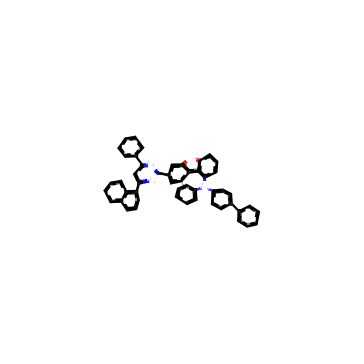 c1ccc(-c2ccc(N(c3ccccc3)c3cccc4oc5cc(-c6nc(-c7ccccc7)cc(-c7cccc8ccccc78)n6)ccc5c34)cc2)cc1